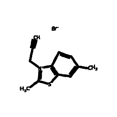 C#CC[n+]1c(C)sc2cc(C)ccc21.[Br-]